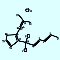 C/C=C/C=C/C(Cl)(Cl)C1=[C]([Zr+]=[C](C)C)CC=C1.[Cl-]